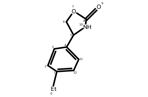 CCc1ccc(C2COC(=O)N2)cc1